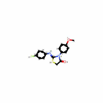 COc1ccc(N2C(=O)CS/C2=N\c2ccc(F)cc2)cc1